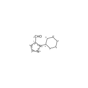 O=Cc1ccnn1C1CCCCC1